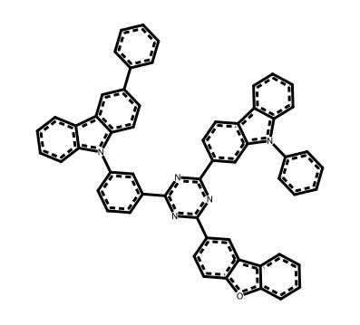 c1ccc(-c2ccc3c(c2)c2ccccc2n3-c2cccc(-c3nc(-c4ccc5oc6ccccc6c5c4)nc(-c4ccc5c6ccccc6n(-c6ccccc6)c5c4)n3)c2)cc1